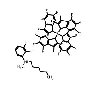 CCCCCC[NH+](C)c1cccc(F)c1F.FC1=C(F)C([B-](C2C(F)=C(F)c3c2cc(F)c(F)c3F)(C2C(F)=C(F)c3c2cc(F)c(F)c3F)C2C(F)=C(F)c3c2cc(F)c(F)c3F)c2cc(F)c(F)c(F)c21